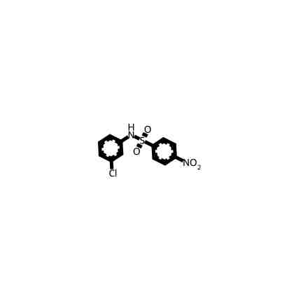 O=[N+]([O-])c1ccc(S(=O)(=O)Nc2cccc(Cl)c2)cc1